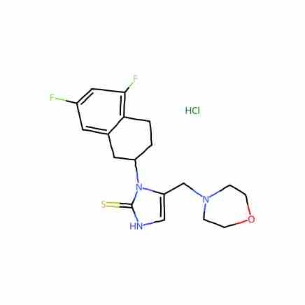 Cl.Fc1cc(F)c2c(c1)CC(n1c(CN3CCOCC3)c[nH]c1=S)CC2